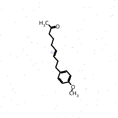 COc1ccc(CC/C=C/CCCC(C)=O)cc1